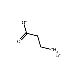 CCCC(=O)[O-].[Li+]